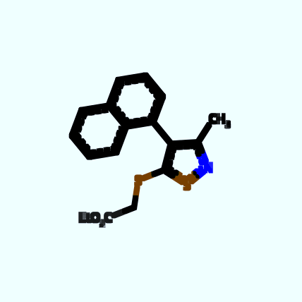 CCOC(=O)CSc1snc(C)c1-c1cccc2ccccc12